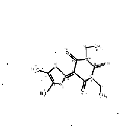 CCN1C(=O)C(=C2SC(C)=C(C)S2)C(=O)N(CC)C1=S